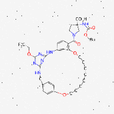 CC(C)(C)OC(=O)NC1(C(=O)O)CCN(C(=O)c2ccc3cc2OCCCCCCCCOc2ccc(cc2)CNc2nc(nc(OCC(F)(F)F)n2)N3)C1